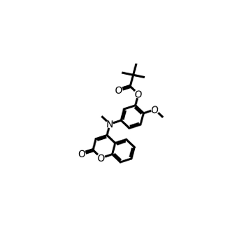 COc1ccc(N(C)c2cc(=O)oc3ccccc23)cc1OC(=O)C(C)(C)C